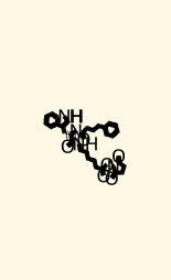 O=C(CCCc1ccccc1)N[C@@H](Cc1c[nH]c2ccccc12)C(=O)NCCCCCC(=O)ON1C(=O)CCC1=O